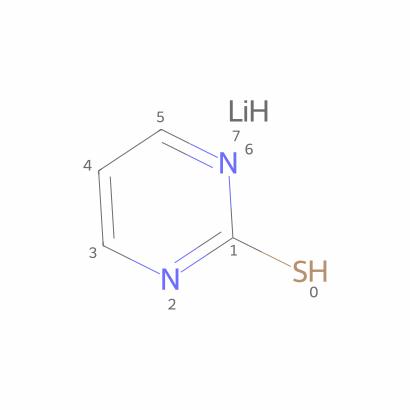 Sc1ncccn1.[LiH]